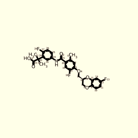 Cc1cc(OC[C@@H]2COc3ccc(F)cc3O2)c(F)cc1C(=O)Nc1ccc(F)c(C(C)(C)C(=O)O)c1